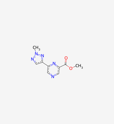 COC(=O)c1cncc(-c2cnn(C)n2)n1